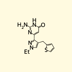 CCn1cc(Cc2cccs2)c(-c2cc(=O)[nH]c(N)n2)n1